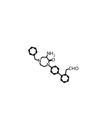 NC1CN(Cc2ccccc2)CCN(c2ccc(-c3ccccc3CC=O)cc2)C1=O